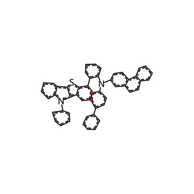 c1ccc(-c2ccc(N(c3ccc4c(ccc5ccccc54)c3)c3ccccc3-c3cccc4c3sc3c5ccccc5n(-c5ccccc5)c43)cc2)cc1